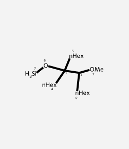 CCCCCCC(OC)C(CCCCCC)(CCCCCC)O[SiH3]